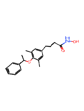 Cc1cc(CCCC(=O)NO)cc(C)c1OC(C)c1ccccc1